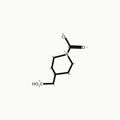 O=C(O)CC1CCN(C(=O)Cl)CC1